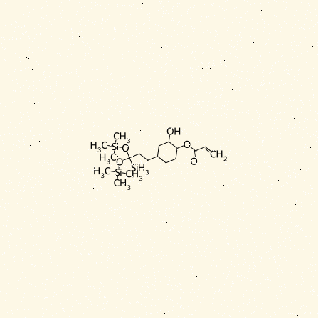 C=CC(=O)OC1CCC(CCC([SiH3])(O[Si](C)(C)C)O[Si](C)(C)C)CC1O